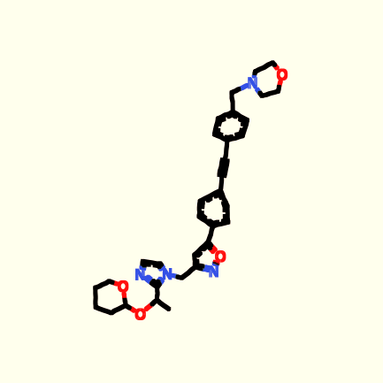 CC(OC1CCCCO1)c1nccn1Cc1cc(-c2ccc(C#Cc3ccc(CN4CCOCC4)cc3)cc2)on1